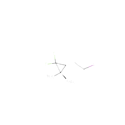 CC(=O)O[C@]1(C)[C@@H](CCI)C1(F)F